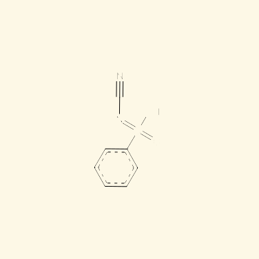 CS(=O)(=NC#N)c1ccccc1